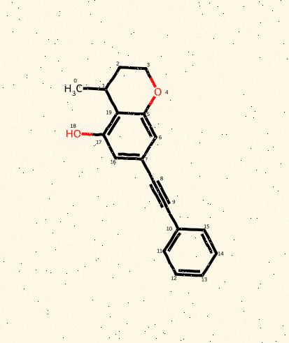 CC1CCOc2cc(C#Cc3ccccc3)cc(O)c21